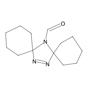 O=CN1C2(CCCCC2)N=NC12CCCCC2